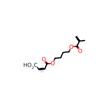 C=C(C)C(=O)OCCCCOC(=O)/C=C\C(=O)O